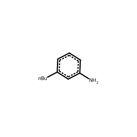 CCCCc1cc[c]c(N)c1